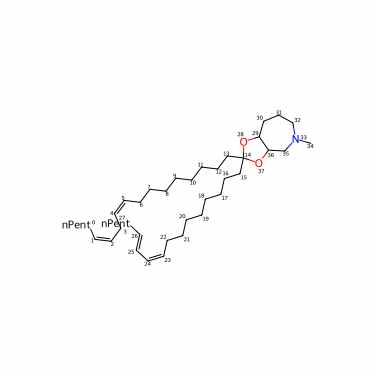 CCCCC/C=C\C/C=C\CCCCCCCCC1(CCCCCCCC/C=C\C=C\CCCCC)OC2CCCN(C)CC2O1